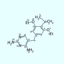 C=C(C)c1c(OCC)cc(Cc2cnc(N)nc2N)cc1OCC